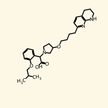 CC(C)COc1ccccc1C(C(=O)O)N1CCC(OCCCCc2ccc3c(n2)NCCC3)C1